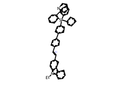 CCn1c2ccccc2c2cc(/C=C/c3ccc(-c4ccc([Si](c5ccccc5)(c5ccccc5)c5ccccc5-c5ccccn5)cc4)cc3)ccc21